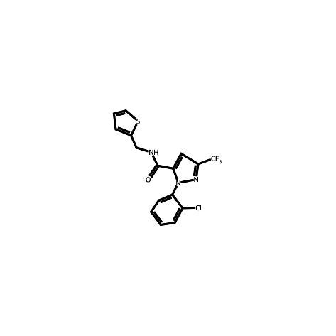 O=C(NCc1cccs1)c1cc(C(F)(F)F)nn1-c1ccccc1Cl